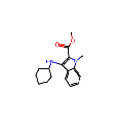 COC(=O)c1c(NC2CCCCC2)c2ccccc2n1C